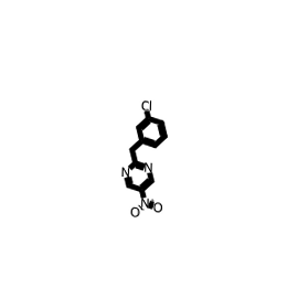 O=[N+]([O-])c1cnc(Cc2cccc(Cl)c2)nc1